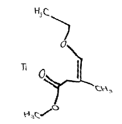 CCOC=C(C)C(=O)OC.[Ti]